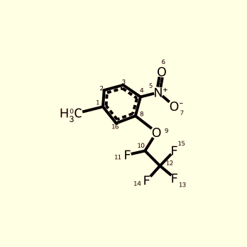 Cc1ccc([N+](=O)[O-])c(OC(F)C(F)(F)F)c1